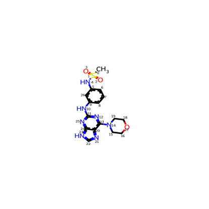 CS(=O)(=O)Nc1cccc(Nc2nc(N3CCOCC3)c3nc[nH]c3n2)c1